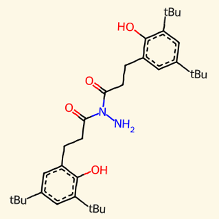 CC(C)(C)c1cc(CCC(=O)N(N)C(=O)CCc2cc(C(C)(C)C)cc(C(C)(C)C)c2O)c(O)c(C(C)(C)C)c1